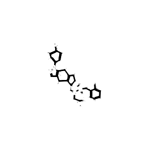 C[C@@H]1C2=C(CC[C@H]2CN(C[C@@H](C)O)S(=O)(=O)Cc2ccccc2C(=O)O)Cc2c1cnn2-c1ccc(F)cc1